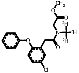 [2H]C([2H])([2H])N(CC(=O)OC)C(=O)Cc1cc(Cl)ccc1Oc1ccccc1